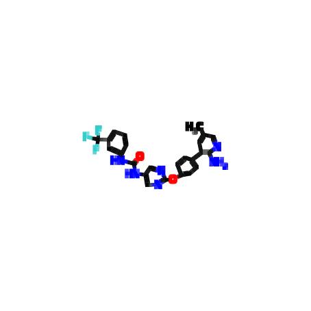 Cc1cnc(N)c(-c2ccc(Oc3ncc(NC(=O)Nc4cccc(C(F)(F)F)c4)cn3)cc2)c1